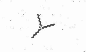 CCCCCCCC[Si](C)(CCCCCCCC)CCCCCCCC